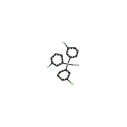 CCCCCC[B-](c1cccc(F)c1)(c1cccc(Cl)c1)c1cccc(Cl)c1